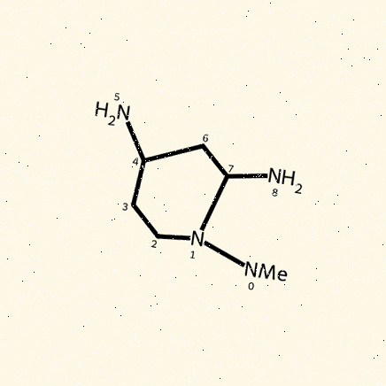 CNN1CCC(N)CC1N